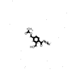 CC(=O)OCc1ccc(C(=O)N=[N+]=[N-])c(CO)c1